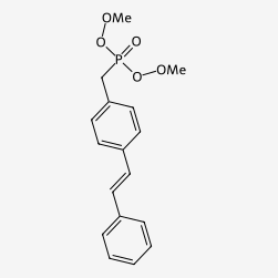 COOP(=O)(Cc1ccc(C=Cc2ccccc2)cc1)OOC